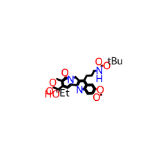 CC[C@@]1(O)C(=O)OCc2c1cc1n(c2=O)Cc2c-1nc1cc3c(cc1c2CCCNC(=O)OC(C)(C)C)OCO3